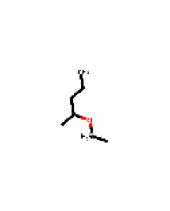 CCCCCCC(C)O[SiH2]C